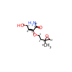 CC1(CCO/C(=C/CO)C(N)=O)CO1